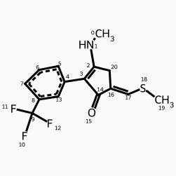 CNC1=C(c2cccc(C(F)(F)F)c2)C(=O)C(=CSC)C1